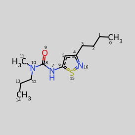 CCCCc1cc(NC(=O)N(C)CCC)sn1